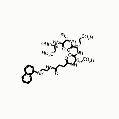 CC(C)[C@H](NC(=O)[C@H](CCC(=O)O)NC(=O)[C@H](CC(=O)O)NC(=O)CCC(=O)NCCNc1cccc2ccccc12)C(=O)N[C@H](C=O)CC(=O)O